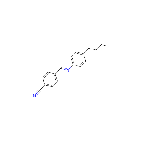 CCCCc1ccc(N=Cc2ccc(C#N)cc2)cc1